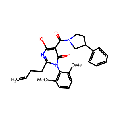 C=CCCc1nc(O)c(C(=O)N2CCC(c3ccccc3)C2)c(=O)n1-c1c(OC)cccc1OC